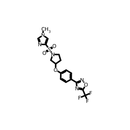 Cn1cnc(S(=O)(=O)N2CCC(Oc3ccc(-c4noc(C(F)(F)F)n4)cc3)C2)c1